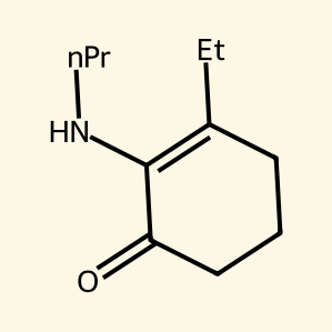 CCCNC1=C(CC)CCCC1=O